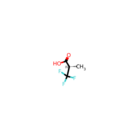 C[C@@H](C(=O)O)C(F)(F)F